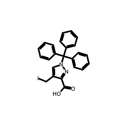 O=C(O)c1nn(C(c2ccccc2)(c2ccccc2)c2ccccc2)cc1CI